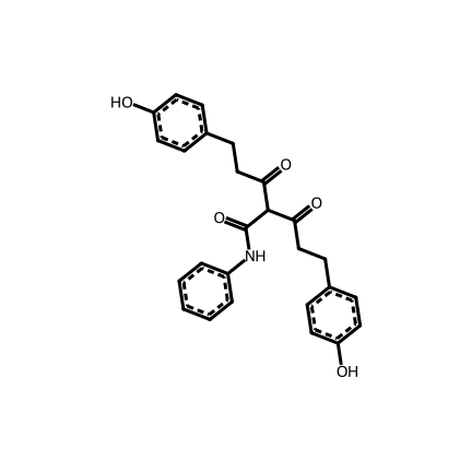 O=C(CCc1ccc(O)cc1)C(C(=O)CCc1ccc(O)cc1)C(=O)Nc1ccccc1